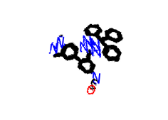 Cn1ncc2cc(-c3ccc(N=C=O)cc3-c3nnn(C(c4ccccc4)(c4ccccc4)c4ccccc4)n3)ccc21